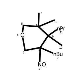 CCCCC1(N=O)CCCC(C)(C)C1(C)CCC